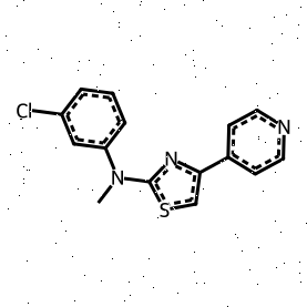 CN(c1cccc(Cl)c1)c1nc(-c2ccncc2)cs1